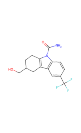 NC(=O)n1c2c(c3cc(C(F)(F)F)ccc31)C[C](CO)CC2